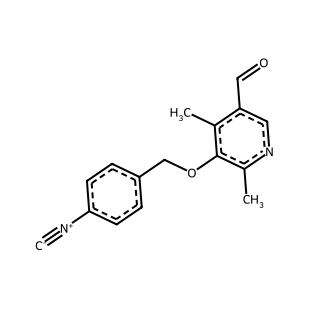 [C-]#[N+]c1ccc(COc2c(C)ncc(C=O)c2C)cc1